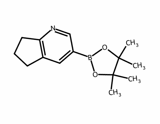 CC1(C)OB(c2cnc3c(c2)CCC3)OC1(C)C